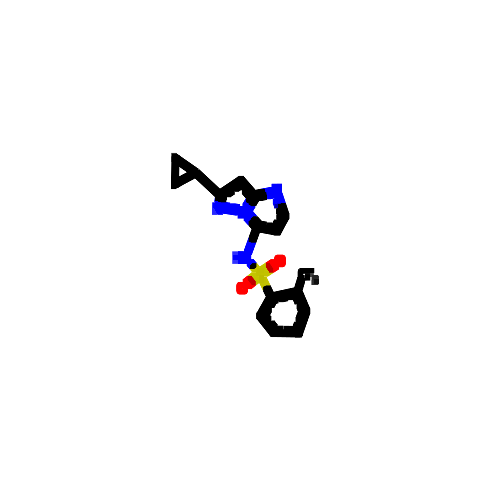 O=S(=O)(Nc1ccnc2cc(C3CC3)nn12)c1ccccc1C(F)(F)F